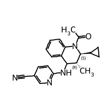 CC(=O)N1c2ccccc2C(Nc2ccc(C#N)cn2)[C@@H](C)[C@@H]1C1CC1